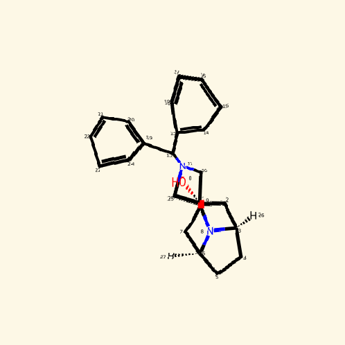 O[C@@H]1C[C@H]2CC[C@@H](C1)N2C1CN(C(c2ccccc2)c2ccccc2)C1